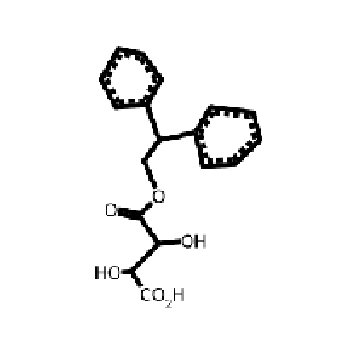 O=C(O)C(O)C(O)C(=O)OCC(c1ccccc1)c1ccccc1